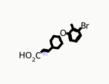 Cc1c(Br)cccc1OC1CCC(/C=C/C(=O)O)CC1